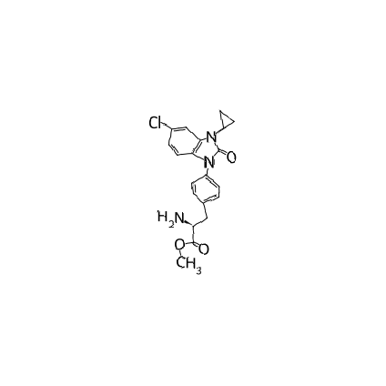 COC(=O)[C@@H](N)Cc1ccc(-n2c(=O)n(C3CC3)c3cc(Cl)ccc32)cc1